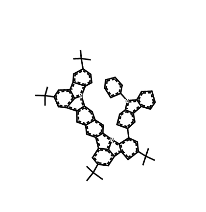 CC(C)(C)c1ccc2c(c1)c1cc(C(C)(C)C)cc3c4cc5cc6c7cc(C(C)(C)C)cc8c9cc(C(C)(C)C)cc(-c%10ccc%11c(c%10)c%10ccccc%10n%11-c%10ccccc%10)c9n(c6cc5cc4n2c13)c78